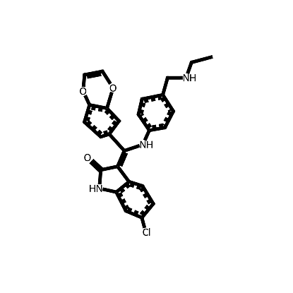 CCNCc1ccc(NC(=C2C(=O)Nc3cc(Cl)ccc32)c2ccc3c(c2)OC=CO3)cc1